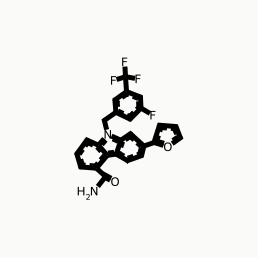 NC(=O)c1cccc2c1c1[c]cc(-c3ccco3)cc1n2Cc1cc(F)cc(C(F)(F)F)c1